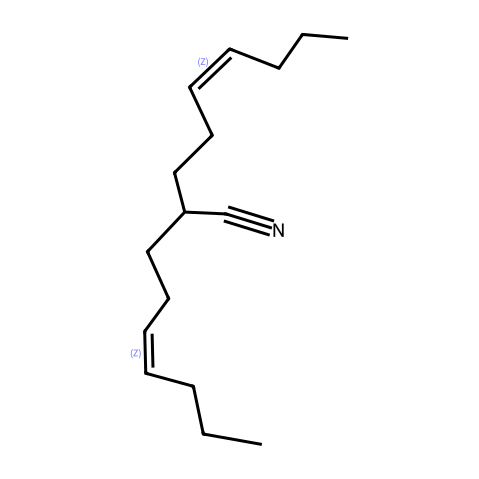 CCC/C=C\CCC(C#N)CC/C=C\CCC